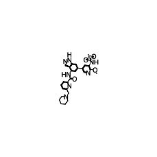 COc1ncc(-c2cc(NC(=O)c3cccc(CN4CCCCC4)n3)c3cn[nH]c3c2)cc1NS(C)(=O)=O